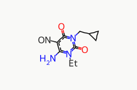 CCn1c(N)c(N=O)c(=O)n(CC2CC2)c1=O